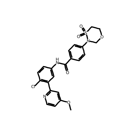 COc1ccnc(-c2cc(NC(=O)c3ccc(N4COCCS4(=O)=O)cc3)ccc2Cl)c1